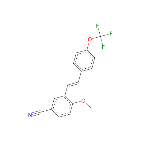 COc1ccc(C#N)cc1/C=C/c1ccc(OC(F)(F)F)cc1